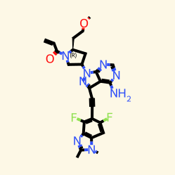 C=CC(=O)N1CC(n2nc(C#Cc3c(F)cc4c(nc(C)n4C)c3F)c3c(N)ncnc32)C[C@@H]1CCOC